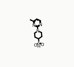 Cc1ccnc(N2CCC([SH](=O)=O)CC2)n1